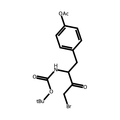 CC(=O)Oc1ccc(CC(NC(=O)OC(C)(C)C)C(=O)CBr)cc1